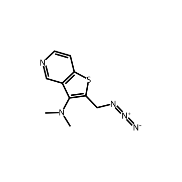 CN(C)c1c(CN=[N+]=[N-])sc2ccncc12